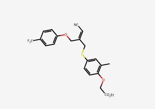 CCOC(=O)COc1ccc(SCC(=CC#N)COc2ccc(C(F)(F)F)cc2)cc1C